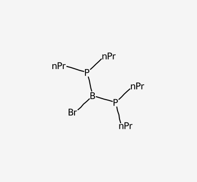 CCCP(CCC)B(Br)P(CCC)CCC